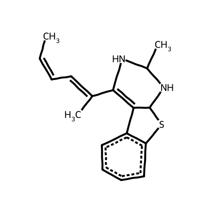 C/C=C\C=C(/C)C1=C2c3ccccc3SC2NC(C)N1